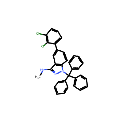 CNc1nn(C(c2ccccc2)(c2ccccc2)c2ccccc2)c2ccc(-c3cccc(Cl)c3Cl)cc12